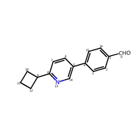 O=Cc1ccc(-c2ccc(C3CCC3)nc2)cc1